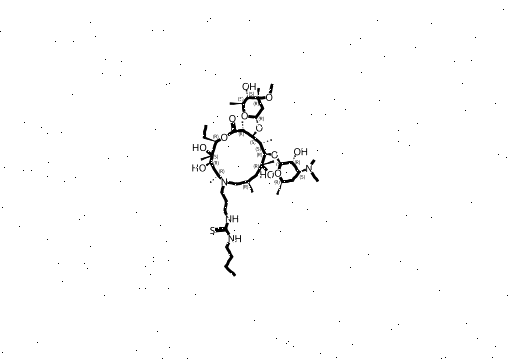 CCCCNC(=S)NCCCN1C[C@H](C)C[C@@](C)(O)[C@H](O[C@@H]2O[C@H](C)C[C@H](N(C)C)[C@H]2O)[C@@H](C)[C@H](O[C@H]2C[C@@](C)(OC)[C@@H](O)[C@H](C)O2)[C@@H](C)C(=O)O[C@H](CC)[C@@](C)(O)[C@H](O)[C@H]1C